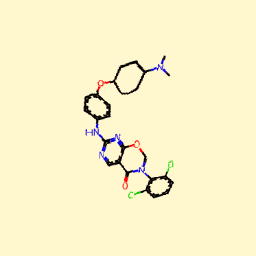 CN(C)C1CCC(Oc2ccc(Nc3ncc4c(n3)OCN(c3c(Cl)cccc3Cl)C4=O)cc2)CC1